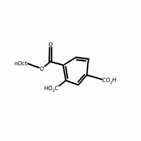 CCCCCCCCOC(=O)c1ccc(C(=O)O)cc1C(=O)O